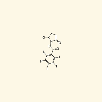 O=C(ON1C(=O)CCC1=O)c1c(I)c(I)c(I)c(I)c1I